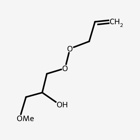 C=CCOOCC(O)COC